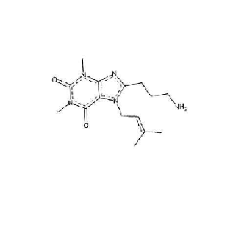 CC(C)=CCn1c(CCCN)nc2c1c(=O)n(C)c(=O)n2C